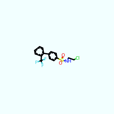 O=S(=O)(NCCCl)c1ccc(-c2ccccc2C(F)(F)F)cc1